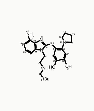 CC(C)(C)CNCCn1c(Sc2cc(O)c(O)cc2N2CCCC2)nc2c(N)nccc21